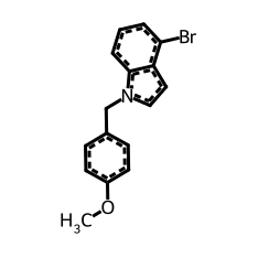 COc1ccc(Cn2ccc3c(Br)cccc32)cc1